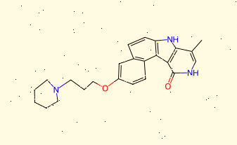 Cc1c[nH]c(=O)c2c1[nH]c1ccc3cc(OCCCN4CCCCC4)ccc3c12